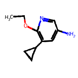 CCOc1ncc(N)cc1C1CC1